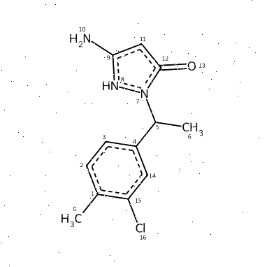 Cc1ccc(C(C)n2[nH]c(N)cc2=O)cc1Cl